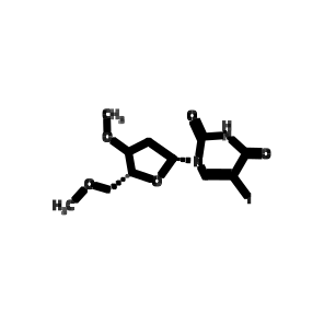 COC[C@H]1O[C@@H](n2cc(I)c(=O)[nH]c2=O)CC1OC